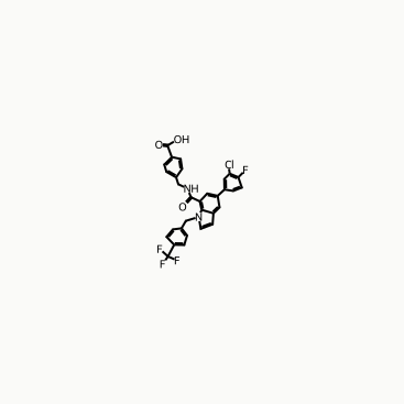 O=C(O)c1ccc(CNC(=O)c2cc(-c3ccc(F)c(Cl)c3)cc3ccn(Cc4ccc(C(F)(F)F)cc4)c23)cc1